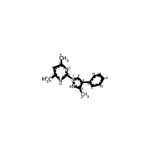 Cc1cc(C)nc(-n2cc(-c3ccccc3)c(C)n2)n1